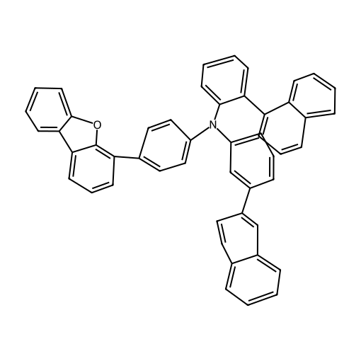 c1cc(-c2ccc3ccccc3c2)cc(N(c2ccc(-c3cccc4c3oc3ccccc34)cc2)c2ccccc2-c2cccc3ccccc23)c1